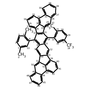 Cc1ccc(C)c(-c2c3cc4c(cc3c(-c3cc(C(F)(F)F)ccc3C)c3c5cc6ccccc6c6cccc(c23)c65)c2cccc3c5ccccc5cc4c32)c1